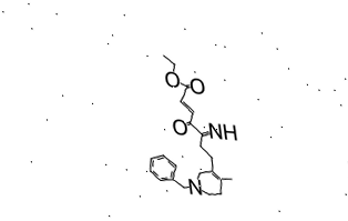 CCOC(=O)/C=C/C(=O)C(=N)CCC1=C(C)CCN(Cc2ccccc2)C1